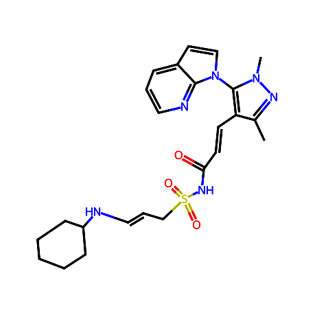 Cc1nn(C)c(-n2ccc3cccnc32)c1/C=C/C(=O)NS(=O)(=O)CC=CNC1CCCCC1